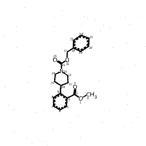 COC(=O)c1ccccc1C1CCN(C(=O)OCc2ccccc2)CC1